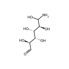 NC(O)[C@@H](O)[C@@H](O)[C@H](O)[C@H](O)C=O